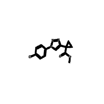 COC(=O)C1(c2cn(-c3ccc(Cl)cc3)nn2)CC1